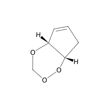 C1=C[C@H]2OCOO[C@H]2C1